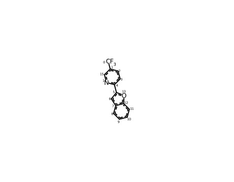 FC(F)(F)c1ccc(-c2cc3ccccc3o2)nc1